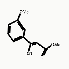 COC(=O)C=C(C#N)c1cccc(OC)c1